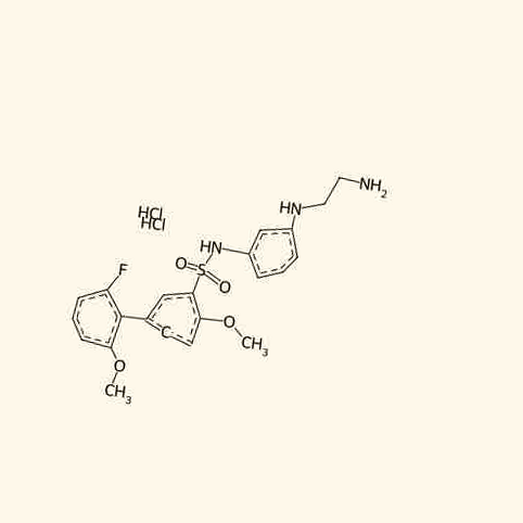 COc1ccc(-c2c(F)cccc2OC)cc1S(=O)(=O)Nc1cccc(NCCN)c1.Cl.Cl